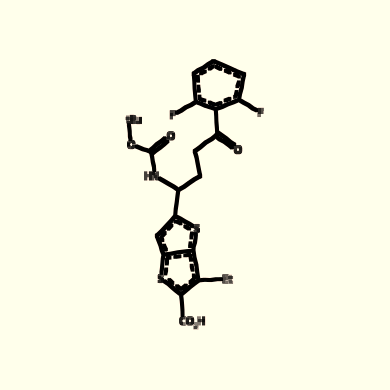 CCc1c(C(=O)O)sc2cc(C(CCC(=O)c3c(F)cccc3F)NC(=O)OC(C)(C)C)sc12